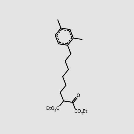 CCOC(=O)C(=O)C(CCCCCCc1ccc(C)cc1C)C(=O)OCC